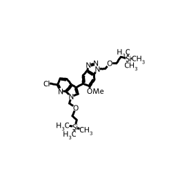 COc1cc2c(cc1-c1cn(COCC[Si](C)(C)C)c3nc(Cl)ccc13)nnn2COCC[Si](C)(C)C